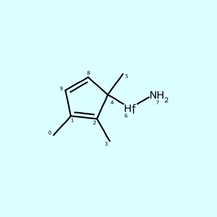 CC1=C(C)[C](C)([Hf][NH2])C=C1